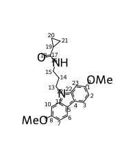 COc1ccc2c3ccc(OC)cc3n(CCCNC(=O)C3CC3)c2c1